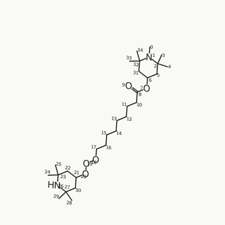 CN1C(C)(C)CC(OC(=O)CCCCCCCCOOOC2CC(C)(C)NC(C)(C)C2)CC1(C)C